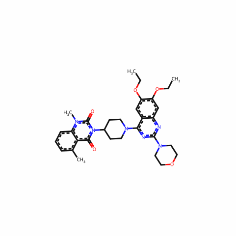 CCOc1cc2nc(N3CCOCC3)nc(N3CCC(n4c(=O)c5c(C)cccc5n(C)c4=O)CC3)c2cc1OCC